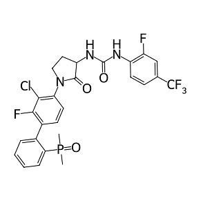 CP(C)(=O)c1ccccc1-c1ccc(N2CCC(NC(=O)Nc3ccc(C(F)(F)F)cc3F)C2=O)c(Cl)c1F